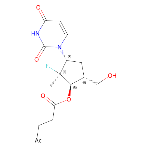 CC(=O)CCC(=O)O[C@@H]1[C@@H](CO)C[C@@H](n2ccc(=O)[nH]c2=O)[C@]1(C)F